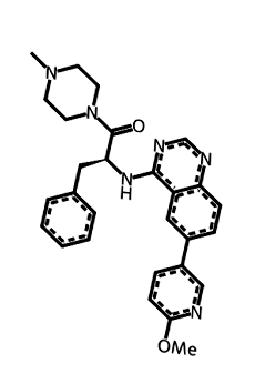 COc1ccc(-c2ccc3ncnc(N[C@@H](Cc4ccccc4)C(=O)N4CCN(C)CC4)c3c2)cn1